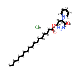 CCCCCCCCCCCCCCCCCC(=O)OCCC(C(N)=O)[n+]1ccccc1.[Cl-]